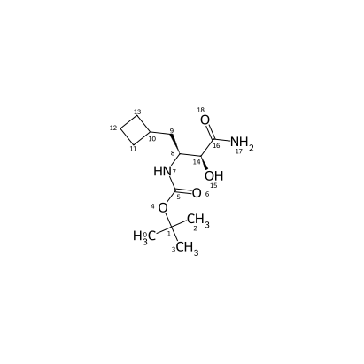 CC(C)(C)OC(=O)N[C@@H](CC1CCC1)[C@H](O)C(N)=O